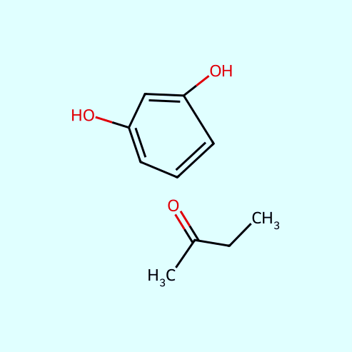 CCC(C)=O.Oc1cccc(O)c1